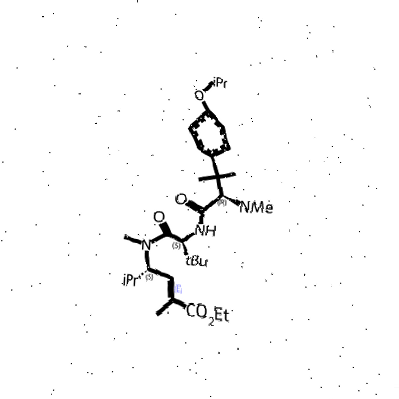 CCOC(=O)/C(C)=C/[C@H](C(C)C)N(C)C(=O)[C@@H](NC(=O)[C@H](NC)C(C)(C)c1ccc(OC(C)C)cc1)C(C)(C)C